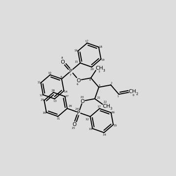 C=CCC(C(C)OP(=O)(c1ccccc1)c1ccccc1)C(C)OP(=O)(c1ccccc1)c1ccccc1